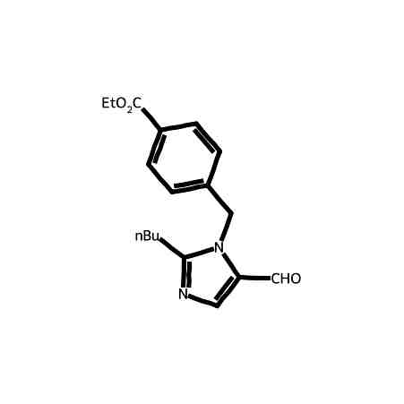 CCCCc1ncc(C=O)n1Cc1ccc(C(=O)OCC)cc1